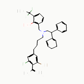 C=C(C)c1c(F)cc(CCCCN(Cc2cccc(C(C)(F)F)c2O)CC(C2=CCCC=C2)c2ccccc2)cc1S